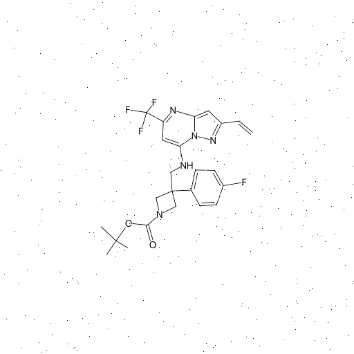 C=Cc1cc2nc(C(F)(F)F)cc(NCC3(c4ccc(F)cc4)CN(C(=O)OC(C)(C)C)C3)n2n1